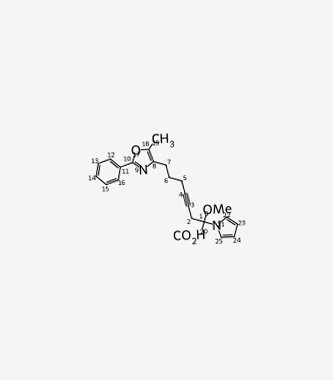 COC(CC#CCCCc1nc(-c2ccccc2)oc1C)(C(=O)O)n1cccc1